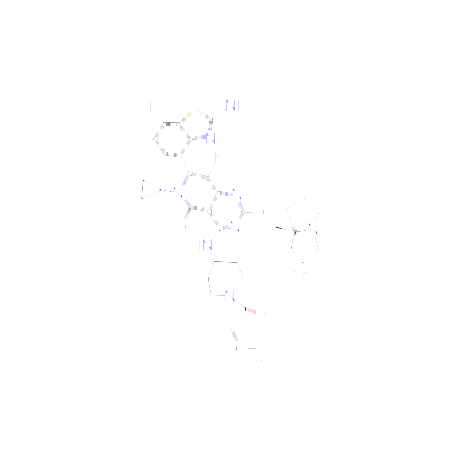 C=CC(=O)N1CCC(Nc2nc(OC[C@@]34CCCN3C[C@H](F)C4)nc3c(F)c(-c4ccc(F)c5sc(N)nc45)n(C4CC4)c(=O)c23)CC1